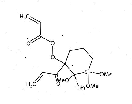 C=CC(=O)OOC1(C(=O)C=C)CCC[Si](OC)(OC)C1(CCC)OC